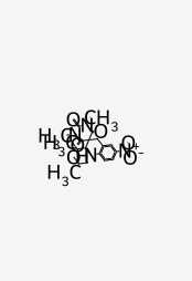 C[C@@H]1CN2c3ccc([N+](=O)[O-])cc3CC3(C(=O)N(C)C(=O)N(C)C3=O)[C@H]2[C@H](C)O1